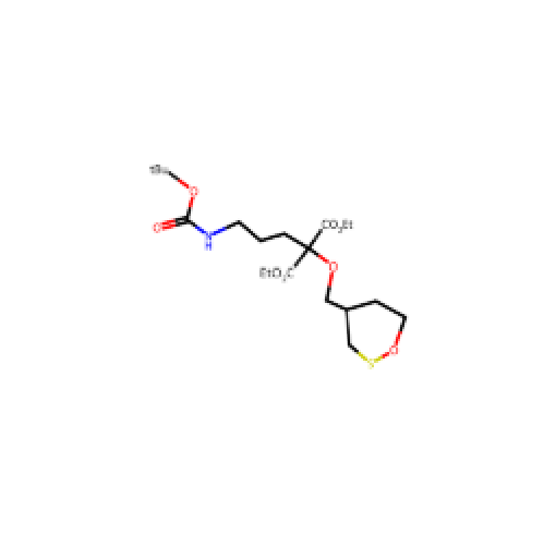 CCOC(=O)C(CCCNC(=O)OC(C)(C)C)(OCC1CCOSC1)C(=O)OCC